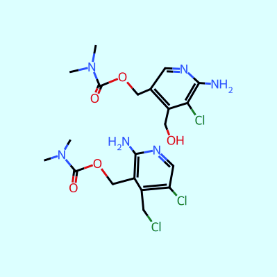 CN(C)C(=O)OCc1c(N)ncc(Cl)c1CCl.CN(C)C(=O)OCc1cnc(N)c(Cl)c1CO